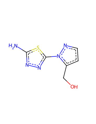 Nc1nnc(-n2nccc2CO)s1